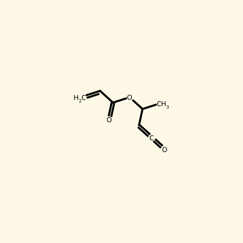 C=CC(=O)OC(C)C=C=O